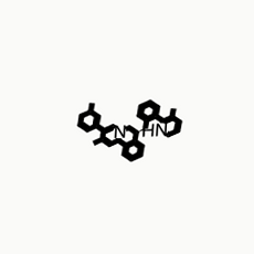 CC1=CC2c3ccccc3[C@@H](Cc3ccccc3C3=C(C)C=CCN3)CN2C=C1C1=CC(C)CC=C1